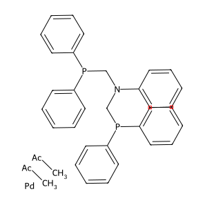 CC(C)=O.CC(C)=O.[Pd].c1ccc(N(CP(c2ccccc2)c2ccccc2)CP(c2ccccc2)c2ccccc2)cc1